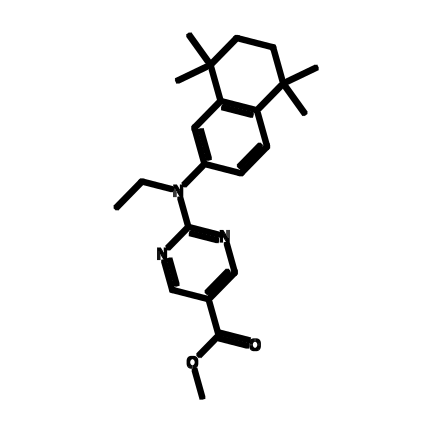 CCN(c1ccc2c(c1)C(C)(C)CCC2(C)C)c1ncc(C(=O)OC)cn1